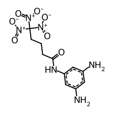 Nc1cc(N)cc(NC(=O)CCCC([N+](=O)[O-])([N+](=O)[O-])[N+](=O)[O-])c1